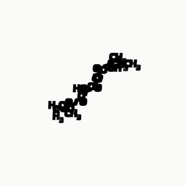 CCCCC(C)(C)CC(O)COC(=O)c1ccc(C(=O)OCC(O)COC(=O)CCC(=O)OC(C)(CC)CCC)cc1